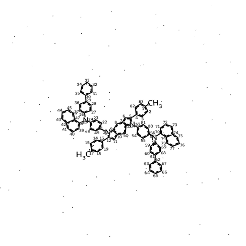 Cc1ccc(-c2cc3cc4c(cc(-c5ccc(C)cc5)n4-c4ccc(N(c5ccc(-c6ccccc6)cc5)c5cccc6ccccc56)cc4)cc3n2-c2ccc(N(c3ccc(-c4ccccc4)cc3)c3cccc4ccccc34)cc2)cc1